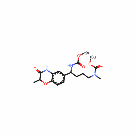 CC1Oc2ccc(C(CCCN(C)C(=O)OC(C)(C)C)NC(=O)OC(C)(C)C)cc2NC1=O